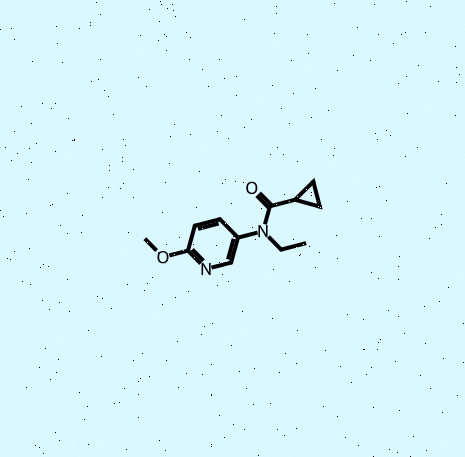 CCN(C(=O)C1CC1)c1ccc(OC)nc1